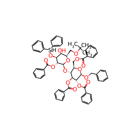 CC(C)(C)OC[C@H]1O[C@@H](O[C@H]2[C@H](OC(=O)c3ccccc3)[C@@H](OC(=O)c3ccccc3)[C@H](OCc3ccccc3)O[C@@H]2COC(=O)c2ccccc2)[C@H](OC(=O)c2ccccc2)[C@@H](O[SiH](c2ccccc2)c2ccccc2)[C@H]1O